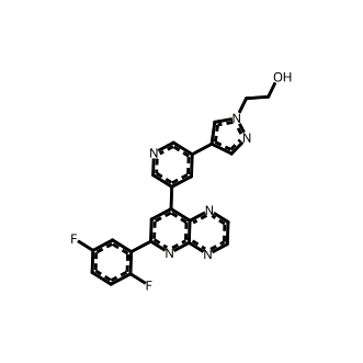 OCCn1cc(-c2cncc(-c3cc(-c4cc(F)ccc4F)nc4nccnc34)c2)cn1